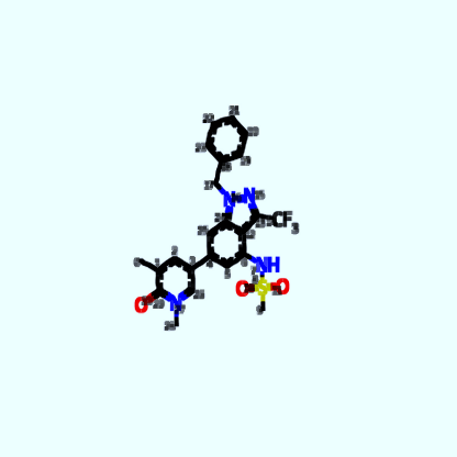 Cc1cc(-c2cc(NS(C)(=O)=O)c3c(C(F)(F)F)nn(Cc4ccccc4)c3c2)cn(C)c1=O